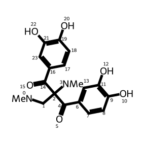 CNCC(NC)(C(=O)c1ccc(O)c(O)c1)C(=O)c1ccc(O)c(O)c1